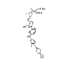 Cc1cc(Nc2ccnc(-c3ccc(O[C@H]4CCN(C(=O)[C@H](O)CO)C[C@H]4F)c(C#N)c3)n2)ccc1N1CCN(C2COC2)CC1